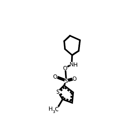 Cc1ccc(S(=O)(=O)ONC2CCCCC2)s1